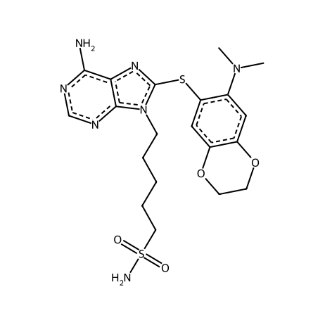 CN(C)c1cc2c(cc1Sc1nc3c(N)ncnc3n1CCCCCS(N)(=O)=O)OCCO2